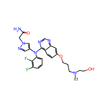 CCN(CCO)CCCOc1ccc2c(N(c3cnn(CC(N)=O)c3)c3cccc(F)c3F)ncnc2c1